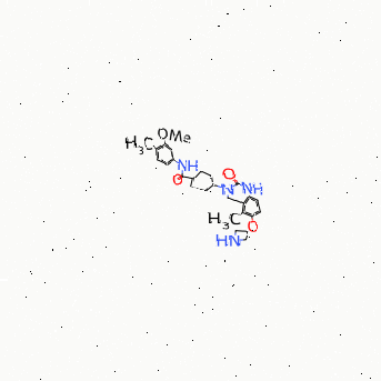 COc1cc(NC(=O)C2CCC(N3Cc4c(ccc(OC5CNC5)c4C)NC3=O)CC2)ccc1C